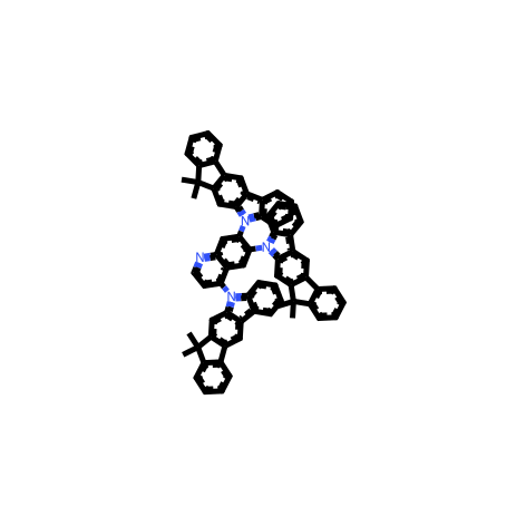 CC1(C)c2ccccc2-c2cc3c4ccccc4n(-c4cc5nccc(-n6c7ccccc7c7cc8c(cc76)C(C)(C)c6ccccc6-8)c5cc4-n4c5ccccc5c5cc6c(cc54)C(C)(C)c4ccccc4-6)c3cc21